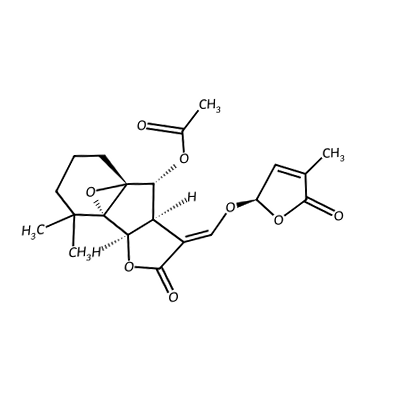 CC(=O)O[C@@H]1[C@H]2/C(=C\O[C@H]3C=C(C)C(=O)O3)C(=O)O[C@H]2[C@]23O[C@]12CCCC3(C)C